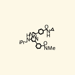 CNC(=O)c1cccc(-c2cc(NCC(C)C)c3ncc(-c4ccc(C(=O)NC5CC5)cc4)n3n2)c1